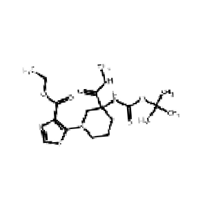 CCOC(=O)c1ncsc1N1CCCC(NC(=O)OC(C)(C)C)(C(=O)NC)C1